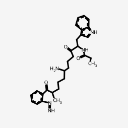 CCC(=O)NC(Cc1c[nH]c2ccccc12)C(=O)CCCC(N)CCCC(C)C(=O)c1ccccc1N=N